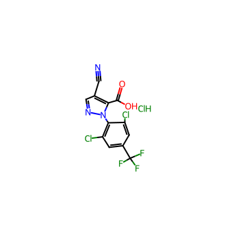 Cl.N#Cc1cnn(-c2c(Cl)cc(C(F)(F)F)cc2Cl)c1C(=O)O